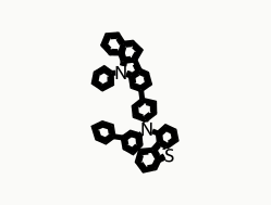 c1ccc(-c2cccc(N(c3ccc(-c4ccc5c6ccc7ccccc7c6n(-c6ccccc6)c5c4)cc3)c3cccc4sc5ccccc5c34)c2)cc1